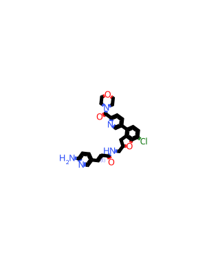 Nc1ccc(/C=C/C(=O)NCC2Cc3c(-c4ccc(C(=O)N5CCOCC5)nc4)ccc(Cl)c3O2)cn1